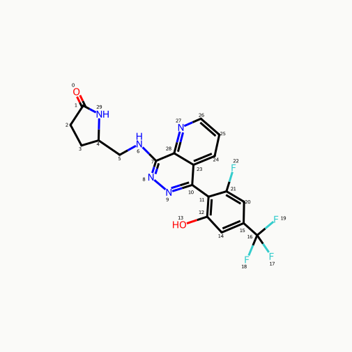 O=C1CCC(CNc2nnc(-c3c(O)cc(C(F)(F)F)cc3F)c3cccnc23)N1